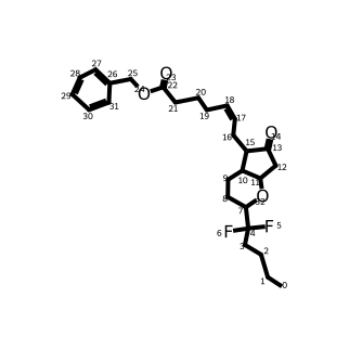 CCCCC(F)(F)C1CCC2C(CC(=O)C2C/C=C\CCCC(=O)OCc2ccccc2)O1